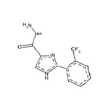 NNC(=O)c1c[nH]c(-c2ccccc2C(F)(F)F)n1